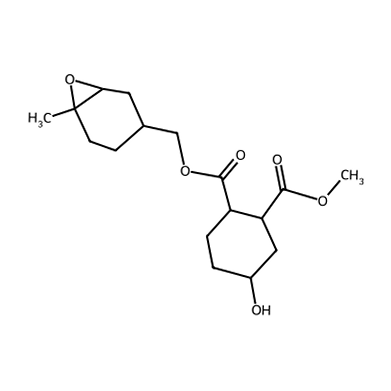 COC(=O)C1CC(O)CCC1C(=O)OCC1CCC2(C)OC2C1